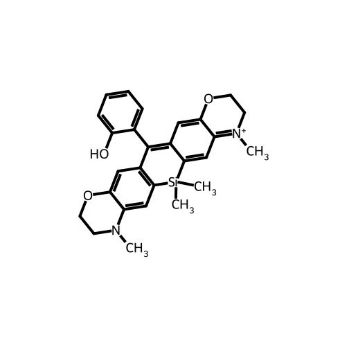 CN1CCOc2cc3c(cc21)[Si](C)(C)c1cc2c(cc1=C3c1ccccc1O)OCC[N+]=2C